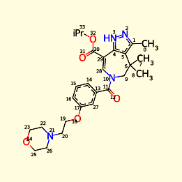 Cc1n[nH]c2c1C(C)(C)CN(C(=O)c1cccc(OCCN3CCOCC3)c1)C=C2C(=O)OC(C)C